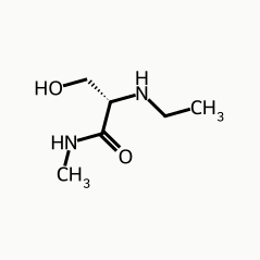 CCN[C@@H](CO)C(=O)NC